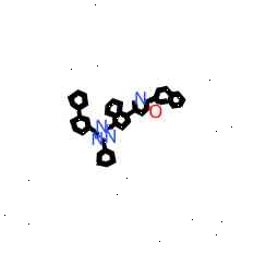 c1ccc(-c2cccc(-c3nc(-c4ccccc4)nc(-c4ccc(-c5cnc6c(c5)oc5c7ccccc7ccc65)c5ccccc45)n3)c2)cc1